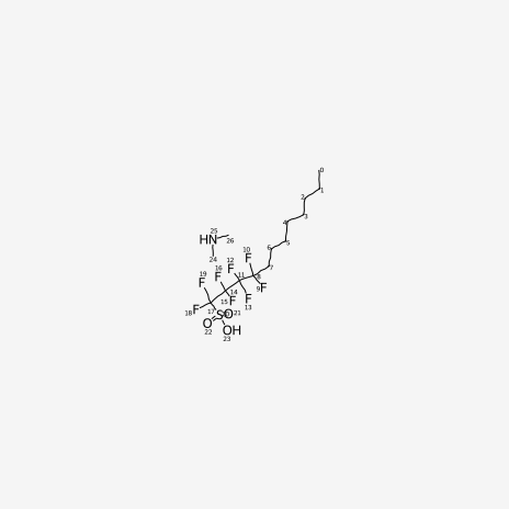 CCCCCCCCC(F)(F)C(F)(F)C(F)(F)C(F)(F)S(=O)(=O)O.CNC